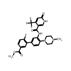 COC(=O)c1ccc(F)c(-c2ccc(N3CCN(C)CC3)c(NC(=O)c3c[nH]c(=O)cc3C(F)(F)F)c2)c1